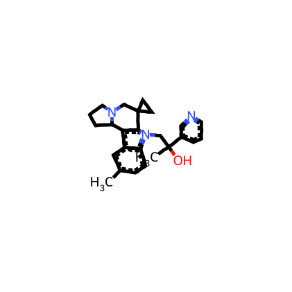 Cc1ccc2c(c1)c1c(n2CC(C)(O)c2cccnc2)C2(CC2)CN2CCCC12